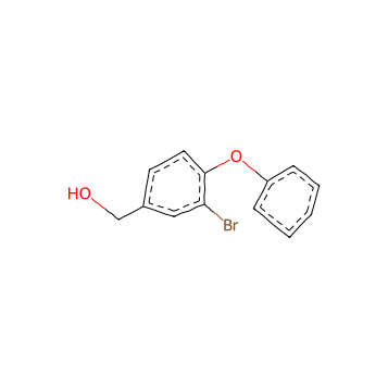 OCc1ccc(Oc2ccccc2)c(Br)c1